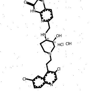 Cl.Cl.O=C1CSc2ccc(CN[C@@H]3CCN(CCc4c(Cl)cnc5ccc(Cl)cc45)C[C@@H]3O)nc2N1